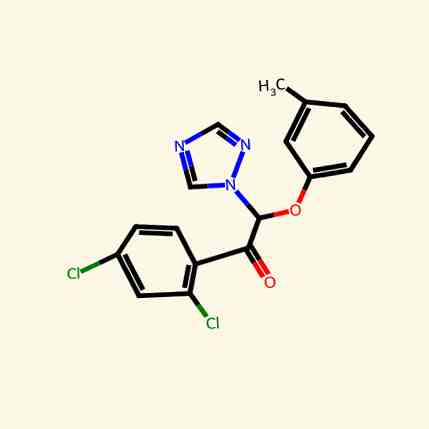 Cc1cccc(OC(C(=O)c2ccc(Cl)cc2Cl)n2cncn2)c1